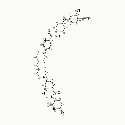 CN(C(=O)c1ccc(N2CCN(CC3CCN(c4ccc(C(=O)N[C@H]5CC[C@H](Oc6ccc(C#N)c(Cl)c6)CC5)nn4)CC3)CC2)cc1F)C1CCC(=O)NC1=O